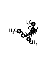 Cc1ccc(/C=C2\CCCC3C2=NN(C(=O)CN2N=N[C@@H]4C(=O)C(c5cccc(C)c5)C(=O)[C@H]42)[C@@H]3c2ccc(C)cc2)cc1